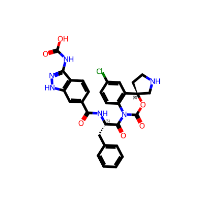 O=C(O)Nc1n[nH]c2cc(C(=O)N[C@@H](Cc3ccccc3)C(=O)N3C(=O)O[C@]4(CCNC4)c4cc(Cl)ccc43)ccc12